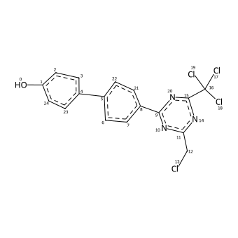 Oc1ccc(-c2ccc(-c3nc(CCl)nc(C(Cl)(Cl)Cl)n3)cc2)cc1